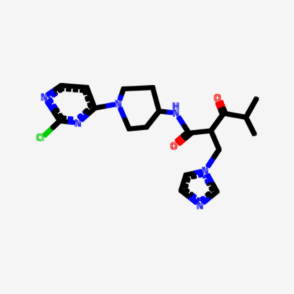 CC(C)C(=O)C(Cn1ccnc1)C(=O)NC1CCN(c2ccnc(Cl)n2)CC1